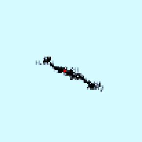 C=C(C)C(=O)OCCCCCOc1ccc(C(=O)Oc2ccc(OC(=O)c3ccc(OCCCCCOC(=O)C(=C)C)cc3)c(C)c2)cc1